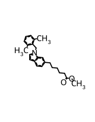 COC(=O)CCCCCc1ccc2ccn(Cc3c(C)cccc3C)c2c1